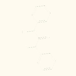 O=C(C(O)c1ccccc1)C(O)c1ccccc1